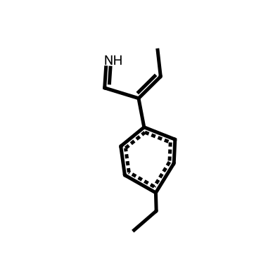 C/C=C(\C=N)c1ccc(CC)cc1